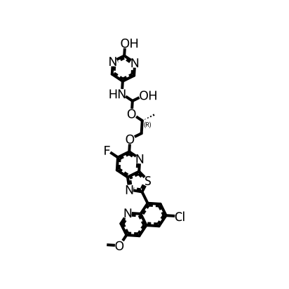 COc1cnc2c(-c3nc4cc(F)c(OC[C@@H](C)OC(O)Nc5cnc(O)nc5)nc4s3)cc(Cl)cc2c1